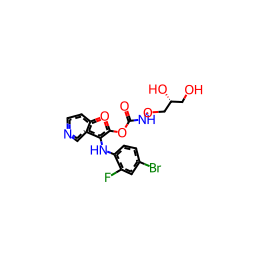 O=C(NOC[C@H](O)CO)Oc1oc2ccncc2c1Nc1ccc(Br)cc1F